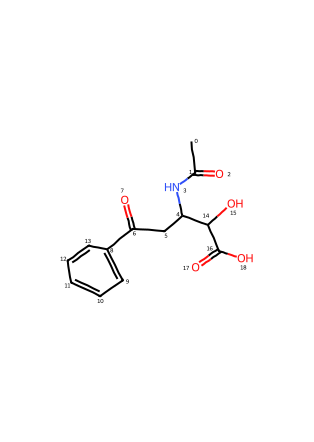 CC(=O)NC(CC(=O)c1ccccc1)C(O)C(=O)O